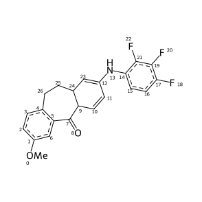 COc1ccc2c(c1)C(=O)C1C=CC(Nc3ccc(F)c(F)c3F)=CC1CC2